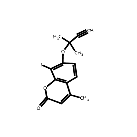 C#CC(C)(C)Oc1ccc2c(C)cc(=O)oc2c1I